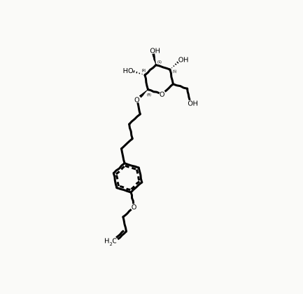 C=CCOc1ccc(CCCCO[C@@H]2OC(CO)[C@@H](O)[C@H](O)[C@H]2O)cc1